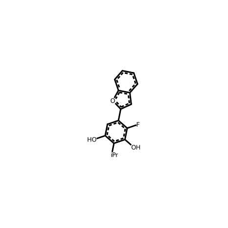 CC(C)c1c(O)cc(-c2cc3ccccc3o2)c(F)c1O